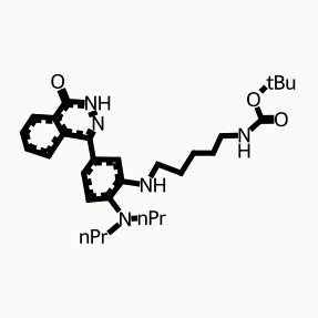 CCCN(CCC)c1ccc(-c2n[nH]c(=O)c3ccccc23)cc1NCCCCCNC(=O)OC(C)(C)C